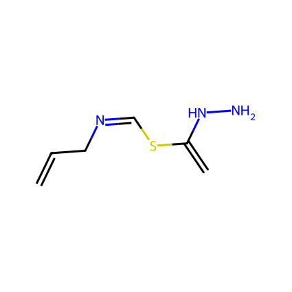 C=CC/N=C\SC(=C)NN